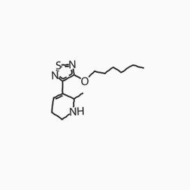 CCCCCCOc1nsnc1C1=CCCNC1C